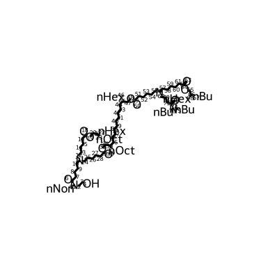 CCCCCCCCCN(CCO)C(=O)CCCCN(CCCCCC(=O)OCC(CCCCCC)CCCCCCCC)CCCCCC(=O)OCC(CCCCCCCC)CCCCCCCCCCC(CCCCCC)COC(=O)CCCCCN(CCCCCC(=O)OCC(CCCC)CCCCCC)CCCC(=O)N(CCCC)CCCC